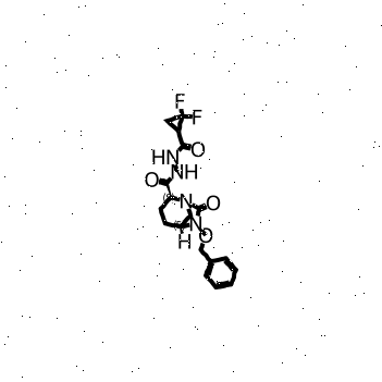 O=C(NNC(=O)[C@@H]1CC[C@@H]2CN1C(=O)N2OCc1ccccc1)C1CC1(F)F